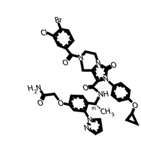 C[C@@H](NC(=O)c1c2n(c(=O)n1-c1ccc(OC3CC3)cc1)CCN(C(=O)c1ccc(Br)c(Cl)c1)C2)c1ccc(OCC(N)=O)cc1-n1cccn1